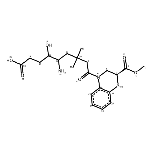 COC(=O)[C@@H]1CN(C(=O)CC(C)(C)CC(N)C(O)CCC(=O)O)c2ccccc2S1